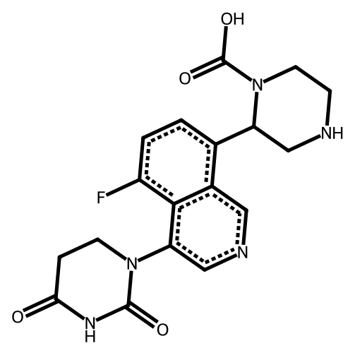 O=C1CCN(c2cncc3c(C4CNCCN4C(=O)O)ccc(F)c23)C(=O)N1